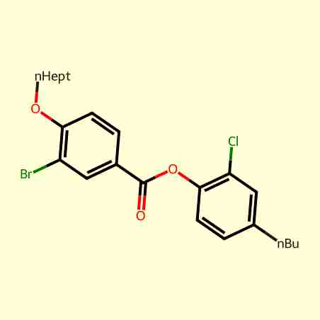 CCCCCCCOc1ccc(C(=O)Oc2ccc(CCCC)cc2Cl)cc1Br